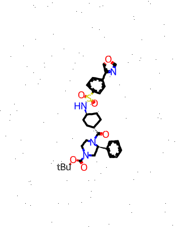 CC(C)(C)OC(=O)N1CCN(C(=O)[C@H]2CC[C@H](NS(=O)(=O)c3ccc(-c4cocn4)cc3)CC2)[C@@H](c2ccccc2)C1